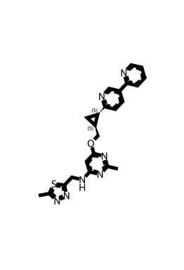 Cc1nc(NCc2nnc(C)s2)cc(OC[C@H]2C[C@@H]2c2ccc(-c3ccccn3)cn2)n1